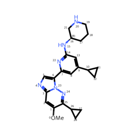 COc1cc2ncc(-c3cc(C4CC4)cc(N[C@@H]4CCCNC4)n3)n2nc1C1CC1